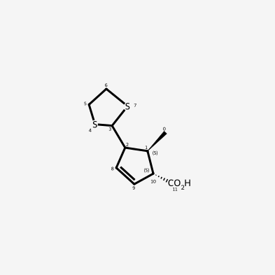 C[C@@H]1C(C2SCCS2)C=C[C@H]1C(=O)O